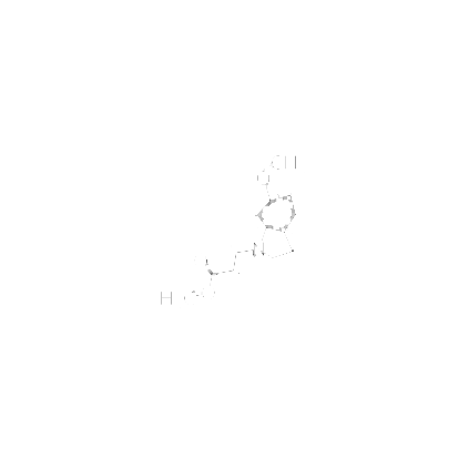 COC(=O)CCN1CCc2ccc(OC)cc21